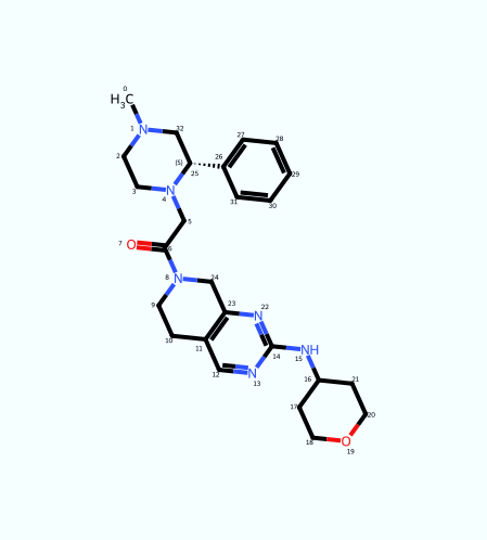 CN1CCN(CC(=O)N2CCc3cnc(NC4CCOCC4)nc3C2)[C@@H](c2ccccc2)C1